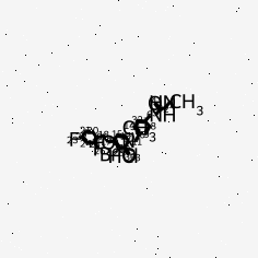 CNCC(=O)NCc1ccc(Cn2c(C)cc(OCc3ccc(F)cc3F)c(Br)c2=O)cc1.Cl